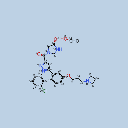 O=C1CN(C(=O)c2cc(-c3cccc(OCCCN4CCC4)c3)n(-c3cccc(Cl)c3)n2)CN1.O=CO